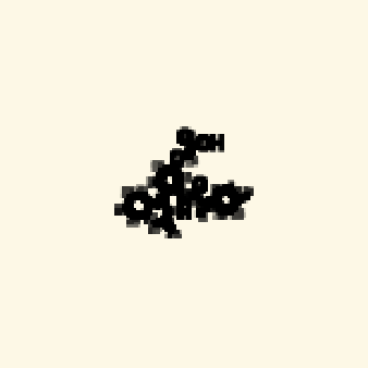 Cc1ccc(N(C)C(=O)Nc2cc(OCC(=O)O)ccc2N(CC(C)C)C2CCCCC2)cc1